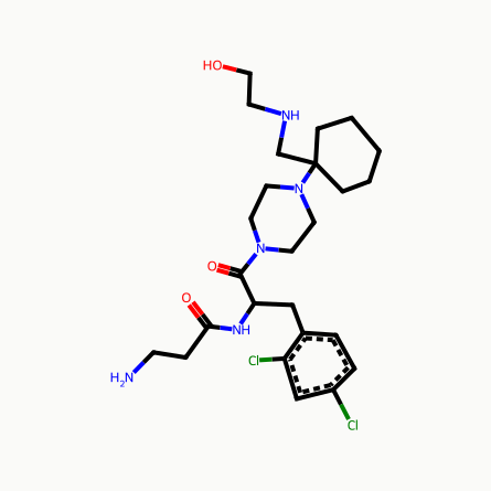 NCCC(=O)NC(Cc1ccc(Cl)cc1Cl)C(=O)N1CCN(C2(CNCCO)CCCCC2)CC1